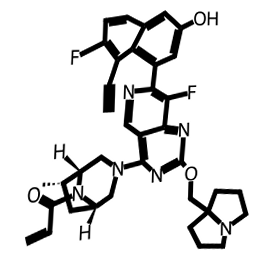 C#Cc1c(F)ccc2cc(O)cc(-c3ncc4c(N5C[C@@H]6C[C@H](C)[C@H](C5)N6C(=O)C=C)nc(OCC56CCCN5CCC6)nc4c3F)c12